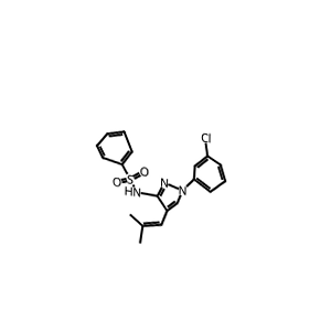 CC(C)=Cc1cn(-c2cccc(Cl)c2)nc1NS(=O)(=O)c1ccccc1